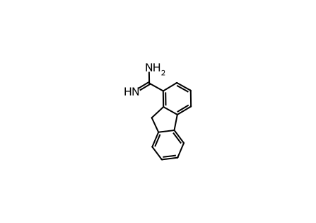 N=C(N)c1cccc2c1Cc1ccccc1-2